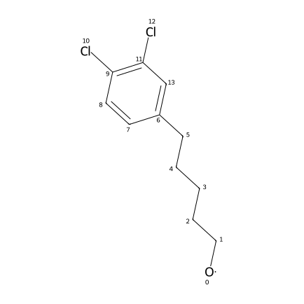 [O]CCCCCc1ccc(Cl)c(Cl)c1